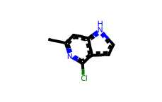 Cc1cc2[nH]ccc2c(Cl)n1